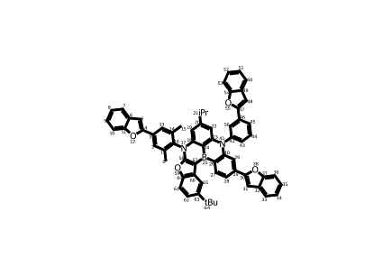 Cc1cc(-c2cc3ccccc3o2)cc(C)c1N1c2cc(C(C)C)cc3c2B(c2ccc(-c4cc5ccccc5o4)cc2N3c2cccc(-c3cc4ccccc4o3)c2)c2c1oc1ccc(C(C)(C)C)cc21